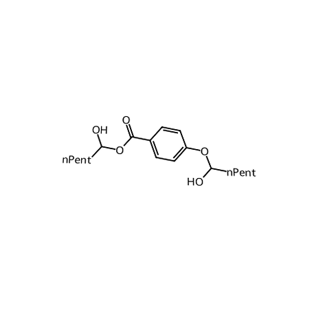 CCCCCC(O)OC(=O)c1ccc(OC(O)CCCCC)cc1